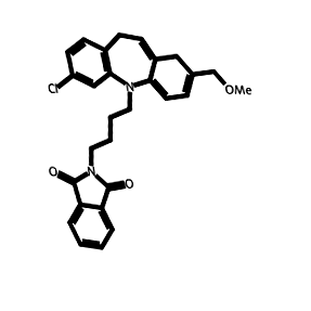 COCC1=CC=C2C(=CCc3ccc(Cl)cc3N2CCCCN2C(=O)c3ccccc3C2=O)C1